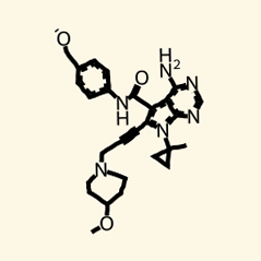 COCc1ccc(NC(=O)c2c(C#CCN3CCC(OC)CC3)n(C3(C)CC3)c3ncnc(N)c23)cc1